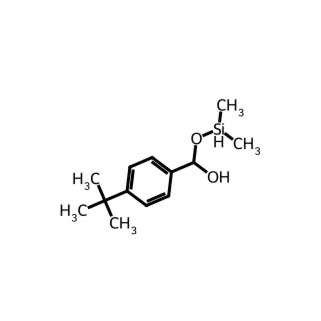 C[SiH](C)OC(O)c1ccc(C(C)(C)C)cc1